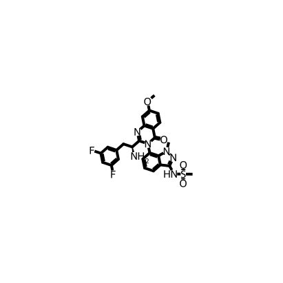 COc1ccc2c(=O)n(-c3cccc4c(NS(C)(=O)=O)nn(C)c34)c([C@@H](N)Cc3cc(F)cc(F)c3)nc2c1